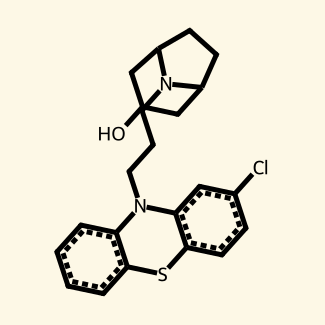 OC1CC2CCC(C1)N2CCCN1c2ccccc2Sc2ccc(Cl)cc21